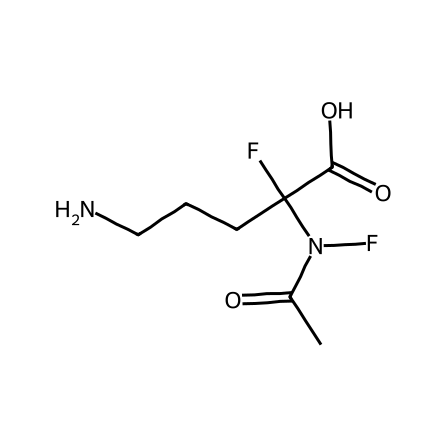 CC(=O)N(F)C(F)(CCCN)C(=O)O